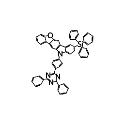 c1ccc(-c2nc(-c3ccccc3)nc(-c3ccc(-n4c5ccc([Si](c6ccccc6)(c6ccccc6)c6ccccc6)cc5c5cc6oc7ccccc7c6cc54)cc3)n2)cc1